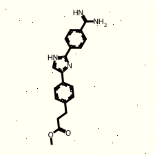 COC(=O)CCc1ccc(-c2c[nH]c(-c3ccc(C(=N)N)cc3)n2)cc1